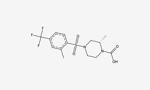 Cc1cc(C(F)(F)F)ccc1S(=O)(=O)N1CCN(C(=O)O)[C@@H](C)C1